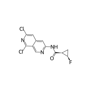 O=C(Nc1cc2cc(Cl)nc(Cl)c2cn1)[C@H]1C[C@H]1F